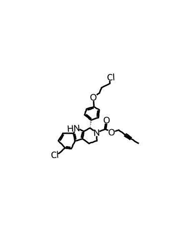 CC#CCOC(=O)N1CCc2c([nH]c3ccc(Cl)cc23)[C@@H]1c1ccc(OCCCCl)cc1